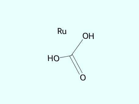 O=C(O)O.[Ru]